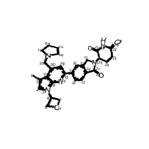 Cc1cn(C2COC2)c2nc(-c3ccc4c(c3)CN(C3CCC(=O)NC3=O)C4=O)cc(CN3CCCC3)c12